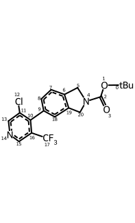 CC(C)(C)OC(=O)N1Cc2ccc(-c3c(Cl)cncc3C(F)(F)F)cc2C1